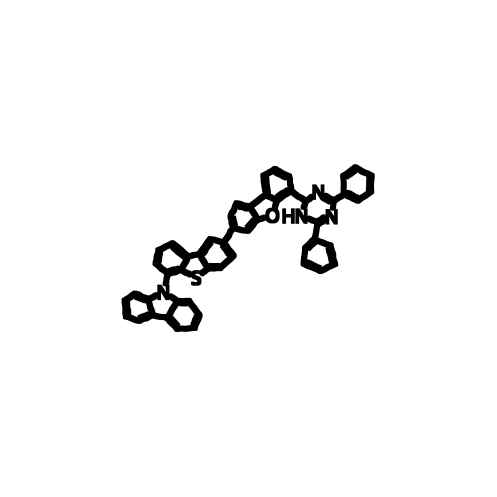 c1ccc(C2=NC(c3cccc4c3oc3cc(-c5ccc6sc7c(-n8c9ccccc9c9ccccc98)cccc7c6c5)ccc34)NC(c3ccccc3)=N2)cc1